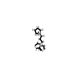 C=C(C)[Si](CC)(CC)CCCN1CCCC1